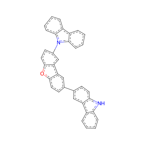 c1ccc2c(c1)[nH]c1ccc(-c3ccc4oc5ccc(-n6c7ccccc7c7ccccc76)cc5c4c3)cc12